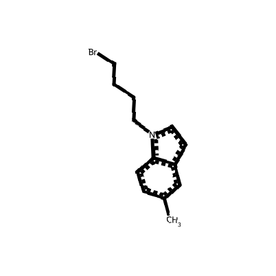 Cc1ccc2c(ccn2CCCCBr)c1